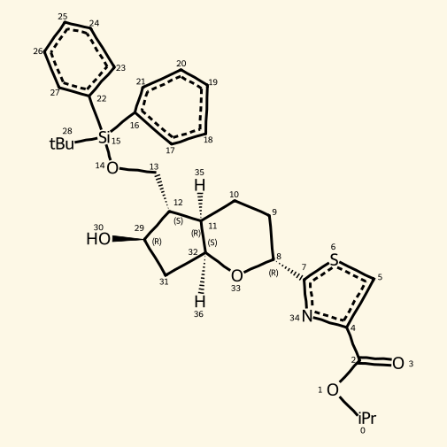 CC(C)OC(=O)c1csc([C@H]2CC[C@@H]3[C@@H](CO[Si](c4ccccc4)(c4ccccc4)C(C)(C)C)[C@H](O)C[C@@H]3O2)n1